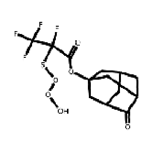 O=C1C2CC3CC1CC(OC(=O)C(F)(SOOO)C(F)(F)F)(C3)C2